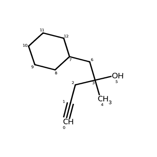 C#CCC(C)(O)CC1CCCCC1